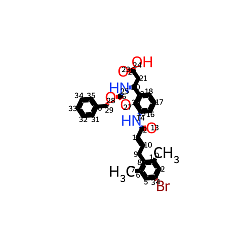 Cc1cc(Br)cc(C)c1CC=CC(=O)Nc1cccc(C(CC(=O)O)NC(=O)OCc2ccccc2)c1